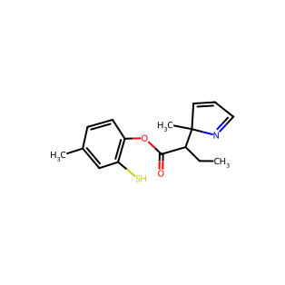 CCC(C(=O)Oc1ccc(C)cc1S)C1(C)C=CC=N1